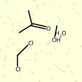 CC(C)=O.CO.ClCCl.O